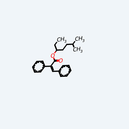 CCC(CCC(C)C)OC(=O)C(=Cc1ccccc1)c1ccccc1